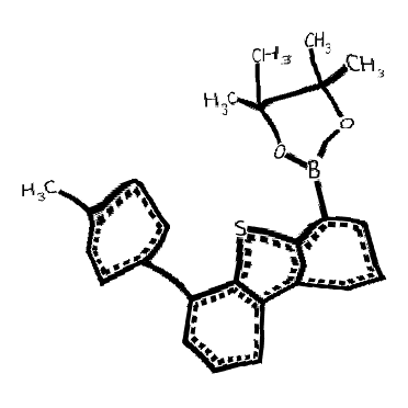 Cc1ccc(-c2cccc3c2sc2c(B4OC(C)(C)C(C)(C)O4)cccc23)cc1